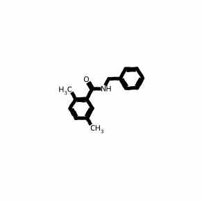 Cc1ccc(C)c(C(=O)NCc2ccccc2)c1